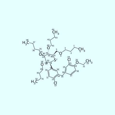 CCCCOC[C@H]1S[C@@H](c2ccc(Cl)c(Cc3ccc(OCC)c(Cl)c3)c2)[C@H](OCCCC)[C@@H](OCCCC)[C@@H]1OCCCC